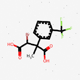 CC(C(=O)O)(c1cccc(C(F)(F)F)c1)C(Br)C(=O)O